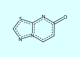 O=c1ccn2ncsc2n1